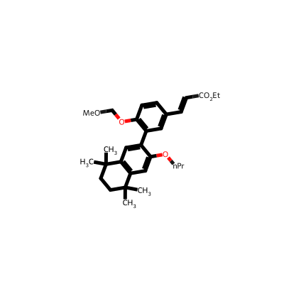 CCCOc1cc2c(cc1-c1cc(/C=C/C(=O)OCC)ccc1OCOC)C(C)(C)CCC2(C)C